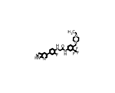 CCN1CCN(Cc2ccc(NC(=O)CNc3ccc(-c4cnc5[nH]ncc5c4)cc3F)cc2C(F)(F)F)CC1